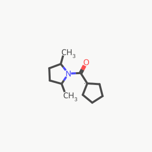 CC1CCC(C)N1C(=O)[C]1CCCC1